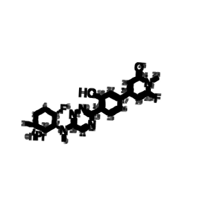 CCC[C@]1(C)CC[C@H](F)[C@H](N(C)c2cnc(-c3ccc(-c4cc(F)n(C)c(=O)c4)cc3O)nn2)C1